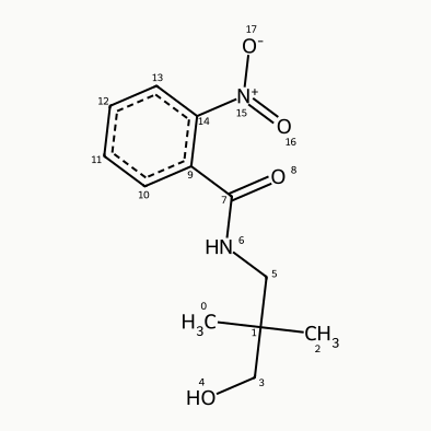 CC(C)(CO)CNC(=O)c1ccccc1[N+](=O)[O-]